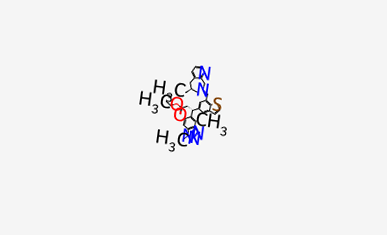 CCOC(=O)C[C@H](c1cc(CN2Cc3ncccc3C[C@H](CC)C2)c2sccc2c1)c1ccc2c(nnn2C)c1C